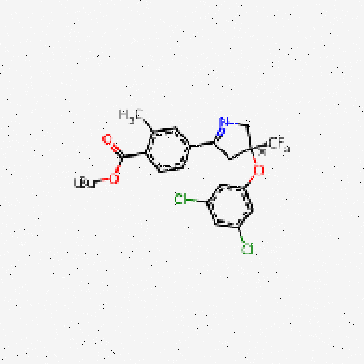 Cc1cc(C2=NC[C@@](Oc3cc(Cl)cc(Cl)c3)(C(F)(F)F)C2)ccc1C(=O)OC(C)(C)C